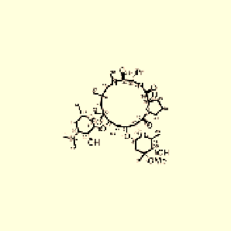 CO[C@]1(C)C[C@H](O[C@H]2[C@H](C)[C@@H](O[C@@H]3O[C@H](C)C[C@H](N(C)C)[C@H]3O)[C@](C)(O)C[C@@H](C)CN(C)C(=O)[C@H](C(C)C)NC(=O)[C@H]3CCCN3C(=O)[C@@H]2C)O[C@@H](C)[C@@H]1O